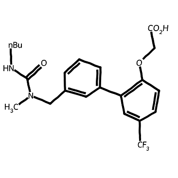 CCCCNC(=O)N(C)Cc1cccc(-c2cc(C(F)(F)F)ccc2OCC(=O)O)c1